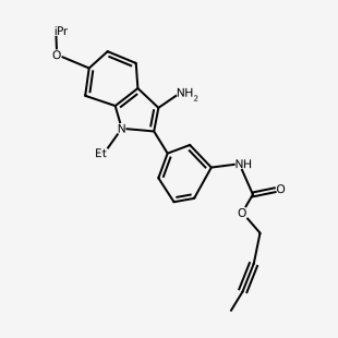 CC#CCOC(=O)Nc1cccc(-c2c(N)c3ccc(OC(C)C)cc3n2CC)c1